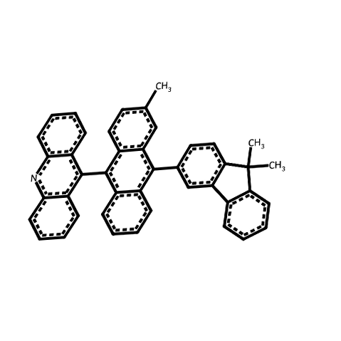 Cc1ccc2c(-c3c4ccccc4nc4ccccc34)c3ccccc3c(-c3ccc4c(c3)-c3ccccc3C4(C)C)c2c1